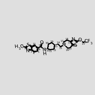 Cc1nc2ccc(C(=O)N[C@H]3CC[C@H](CCN4CCc5nc(OCC(F)(F)F)sc5CC4)CC3)cc2s1